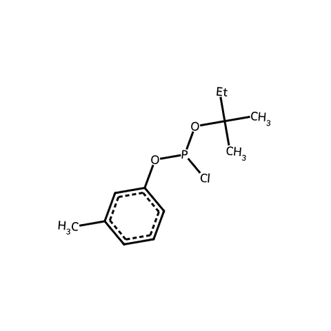 CCC(C)(C)OP(Cl)Oc1cccc(C)c1